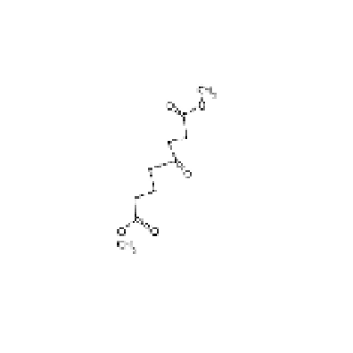 COC(=O)CCCC(=O)CCC(=O)OC